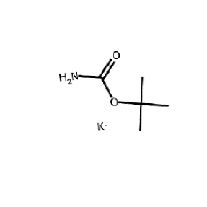 CC(C)(C)OC(N)=O.[K]